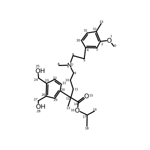 COc1cc(CCN(C)CCCC(C)(C(=O)OC(C)C)c2ccc(CO)c(CO)c2)ccc1C